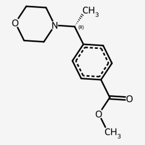 COC(=O)c1ccc([C@@H](C)N2CCOCC2)cc1